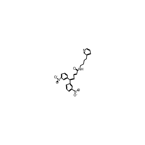 O=C(C=CC=C(c1cccc([N+](=O)[O-])c1)c1cccc([N+](=O)[O-])c1)NCCCCc1cccnc1